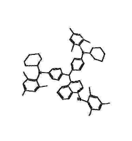 Cc1cc(C)c(Nc2ccc(C(c3ccc(N(c4c(C)cc(C)cc4C)C4CCCCC4)cc3)c3ccc(N(c4c(C)cc(C)cc4C)C4CCCCC4)cc3)c3ccccc23)c(C)c1